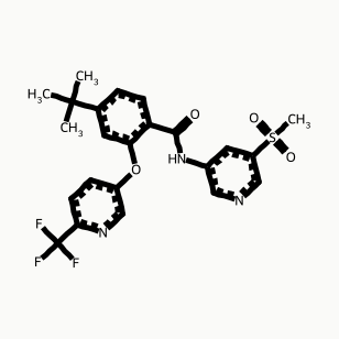 CC(C)(C)c1ccc(C(=O)Nc2cncc(S(C)(=O)=O)c2)c(Oc2ccc(C(F)(F)F)nc2)c1